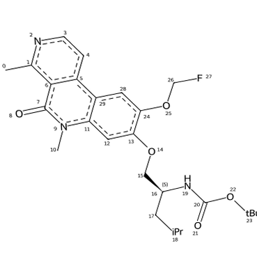 Cc1nccc2c1c(=O)n(C)c1cc(OC[C@H](CC(C)C)NC(=O)OC(C)(C)C)c(OCF)cc21